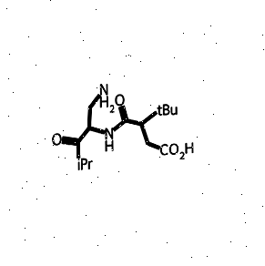 CC(C)C(=O)C(CN)NC(=O)C(CC(=O)O)C(C)(C)C